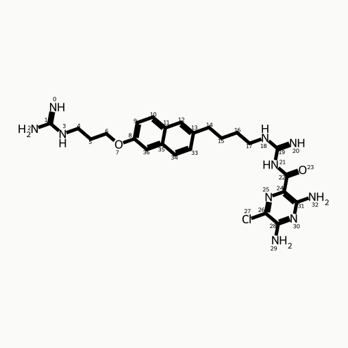 N=C(N)NCCCOc1ccc2cc(CCCCNC(=N)NC(=O)c3nc(Cl)c(N)nc3N)ccc2c1